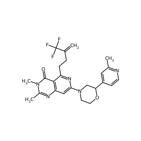 C=C(CCc1nc(N2CCOC(c3ccnc(C)c3)C2)cc2nc(C)n(C)c(=O)c12)C(F)(F)F